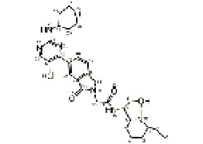 CCC1CCCC(C(CO)NC(=O)CN2Cc3ccc(-c4nc(NC5CCOCC5)ncc4Cl)cc3C2=O)N1